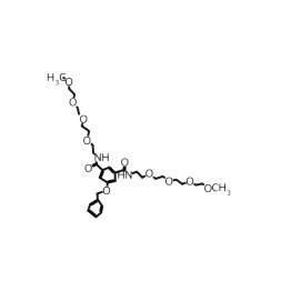 COCCOCCOCCOCCNC(=O)c1cc(OCc2ccccc2)cc(C(=O)NCCOCCOCCOCCOC)c1